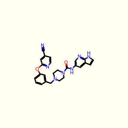 N#Cc1ccnc(Oc2cccc(CN3CCN(C(=O)Nc4cnc5[nH]ccc5c4)CC3)c2)c1